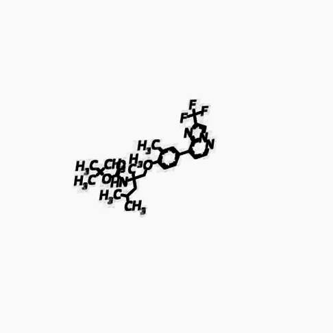 Cc1cc(-c2ccnn3cc(C(F)(F)F)nc23)ccc1OCC(C)(CC(C)C)NC(=O)OC(C)(C)C